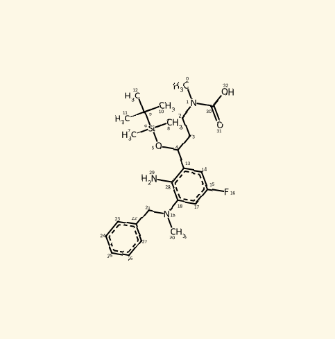 CN(CCC(O[Si](C)(C)C(C)(C)C)c1cc(F)cc(N(C)Cc2ccccc2)c1N)C(=O)O